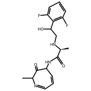 CC1N=CC=CC(NC(=O)[C@H](C)NCC(O)c2c(F)cccc2F)C1=O